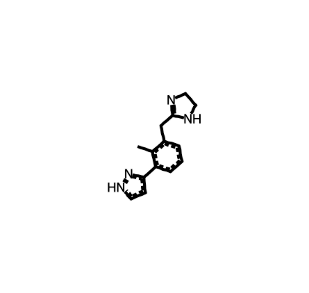 Cc1c(CC2=NCCN2)cccc1-c1cc[nH]n1